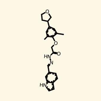 Cc1cc(C2CCOC2)cc(C)c1OCC(=O)N/N=C/c1ccc2cc[nH]c2c1